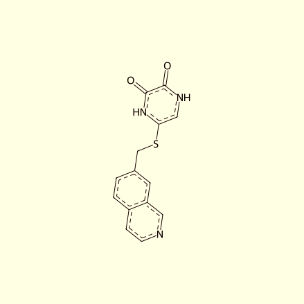 O=c1[nH]cc(SCc2ccc3ccncc3c2)[nH]c1=O